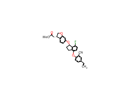 C=Cc1ccc(Oc2ccc(F)c3c2CC[C@H]3Oc2ccc3c(c2)OC[C@H]3CC(=O)OC)c(C#N)c1